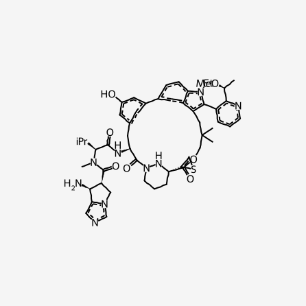 CCn1c(-c2cccnc2[C@H](C)OC)c2c3cc(ccc31)-c1cc(O)cc(c1)C[C@H](NC(=O)[C@H](C(C)C)N(C)C(=O)[C@H]1Cn3cncc3[C@H]1N)C(=O)N1CCC[C@@](C3=CS3)(N1)C(=O)OCC(C)(C)C2